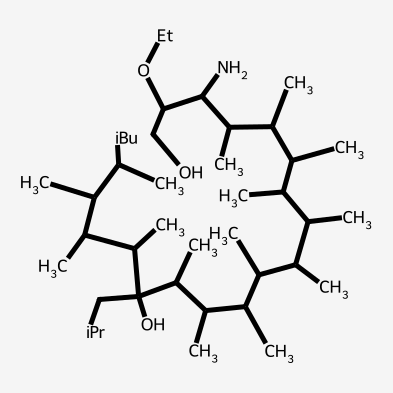 CCOC(CO)C(N)C(C)C(C)C(C)C(C)C(C)C(C)C(C)C(C)C(C)C(C)C(O)(CC(C)C)C(C)C(C)C(C)C(C)C(C)CC